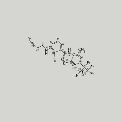 Cc1cc(C(F)(C(F)(F)F)C(F)(F)F)cc(Br)c1NC(=O)c1cccc(NCCC#N)c1F